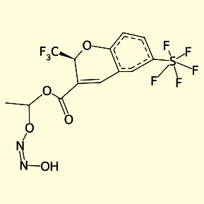 CC(O/N=N\O)OC(=O)C1=Cc2cc(S(F)(F)(F)(F)F)ccc2O[C@@H]1C(F)(F)F